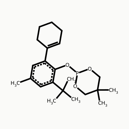 Cc1cc(C2=CCCCC2)c(OP2OCC(C)(C)CO2)c(C(C)(C)C)c1